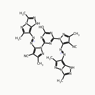 [C-]#[N+]c1c(C)nn(-c2nc(O)nc(-n3nc(C)c(C#N)c3/N=N/c3c(C)nn4c(C)n[nH]c34)n2)c1/N=N/c1c(C)nn2c(C)n[nH]c12